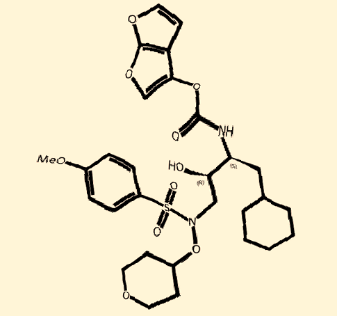 COc1ccc(S(=O)(=O)N(C[C@@H](O)[C@H](CC2CCCCC2)NC(=O)Oc2coc3occc23)OC2CCOCC2)cc1